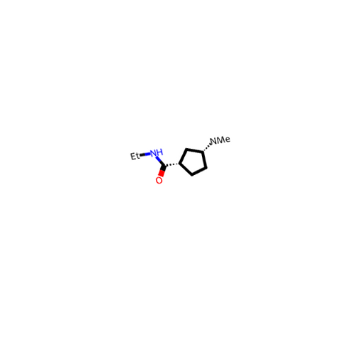 CCNC(=O)[C@H]1CC[C@@H](NC)C1